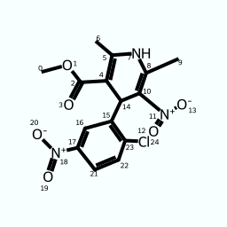 COC(=O)C1=C(C)NC(C)=C([N+](=O)[O-])C1c1cc([N+](=O)[O-])ccc1Cl